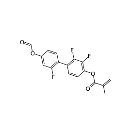 C=C(C)C(=O)Oc1ccc(-c2ccc(OC=O)cc2F)c(F)c1F